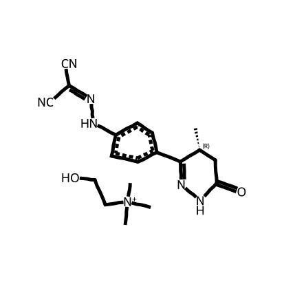 C[C@@H]1CC(=O)NN=C1c1ccc(NN=C(C#N)C#N)cc1.C[N+](C)(C)CCO